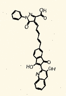 O=C(O)C1=NN(c2ccccc2)C(=O)\C1=C/C=C/C=C/c1ccc2c(c1)C(=O)C(c1nc3ccccc3cc1O)=C2O